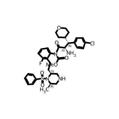 COC(=O)N(C(=O)[C@@H](N)[C@@H](c1ccc(Cl)cc1)C1CCOCC1)c1cccc(F)c1CC[C@H]1CNC[C@@H](C)N1S(=O)(=O)c1ccccc1